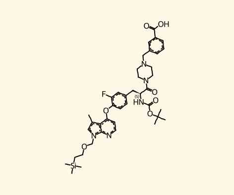 Cc1cn(COCC[Si](C)(C)C)c2nccc(Oc3ccc(C[C@H](NC(=O)OC(C)(C)C)C(=O)N4CCN(Cc5cccc(C(=O)O)c5)CC4)cc3F)c12